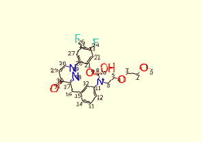 COCCOCCN(C(=O)O)c1cccc(Cc2nn(-c3ccc(F)c(F)c3)ccc2=O)c1